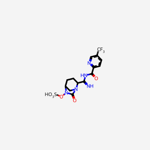 N=C(NC(=O)c1ccc(C(F)(F)F)cn1)C1CCC2CN1C(=O)N2OS(=O)(=O)O